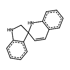 C1=CC2(CNc3ccccc32)Nc2ccccc21